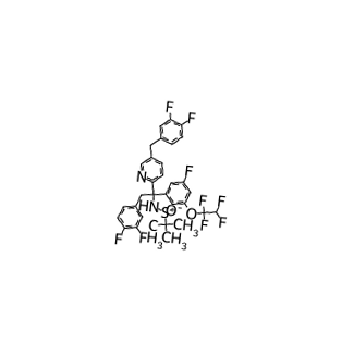 CC(C)(C)[S+]([O-])NC(Cc1ccc(F)c(F)c1)(c1cc(F)cc(OC(F)(F)C(F)F)c1)c1ccc(Cc2ccc(F)c(F)c2)cn1